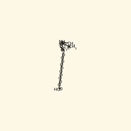 CCCCc1nc2c(N)nc3ccc(N4CCN(CCOCCOCCOCCOCCOCCOCCOCCOCCOCCOCCC(=O)O)CC4)cc3c2n1CCCCN(C)C